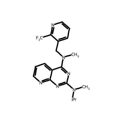 CC(C)N(C)c1nc(N(C)Cc2cccnc2C(F)(F)F)c2cccnc2n1